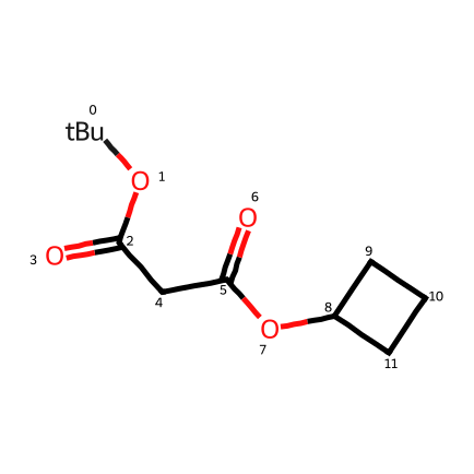 CC(C)(C)OC(=O)CC(=O)OC1CCC1